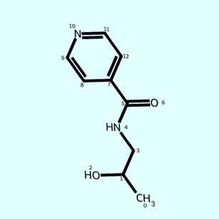 CC(O)CNC(=O)c1ccncc1